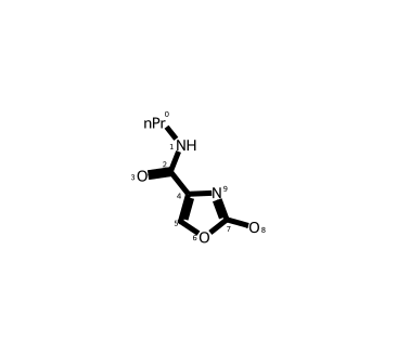 CCCNC(=O)c1coc([O])n1